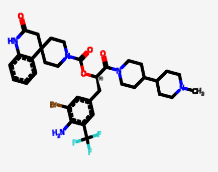 CN1CCC(C2CCN(C(=O)[C@@H](Cc3cc(Br)c(N)c(C(F)(F)F)c3)OC(=O)N3CCC4(CC3)CC(=O)Nc3ccccc34)CC2)CC1